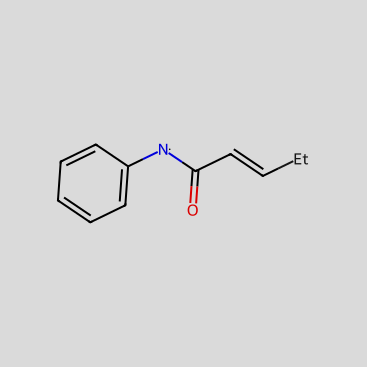 CCC=CC(=O)[N]c1ccccc1